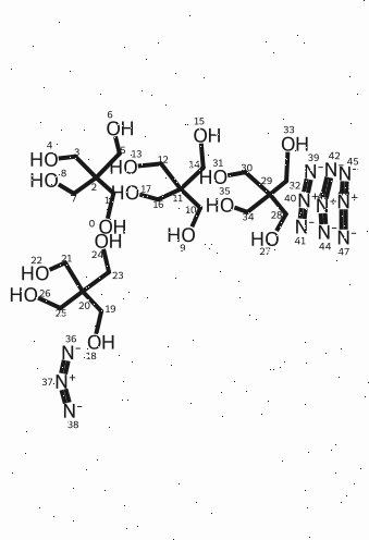 OCC(CO)(CO)CO.OCC(CO)(CO)CO.OCC(CO)(CO)CO.OCC(CO)(CO)CO.[N-]=[N+]=[N-].[N-]=[N+]=[N-].[N-]=[N+]=[N-].[N-]=[N+]=[N-]